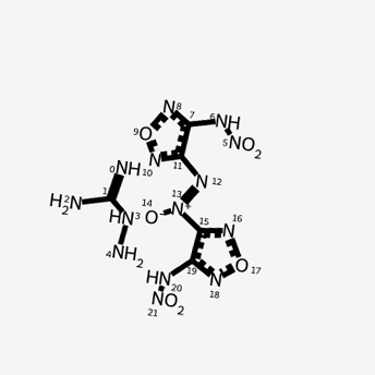 N=C(N)NN.O=[N+]([O-])Nc1nonc1N=[N+]([O-])c1nonc1N[N+](=O)[O-]